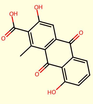 Cc1c(C(=O)O)c(O)cc2c1C(=O)c1c(O)cccc1C2=O